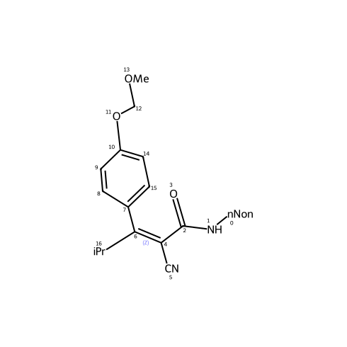 CCCCCCCCCNC(=O)/C(C#N)=C(\c1ccc(OCOC)cc1)C(C)C